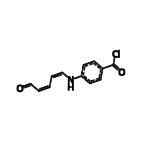 O=C/C=C\C=C/Nc1ccc(C(=O)Cl)cc1